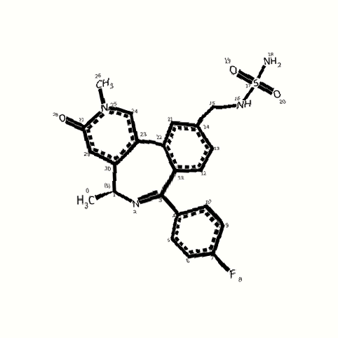 C[C@@H]1N=C(c2ccc(F)cc2)c2ccc(CNS(N)(=O)=O)cc2-c2cn(C)c(=O)cc21